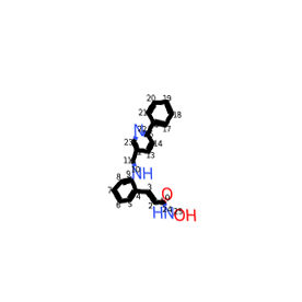 O=C(/C=C/c1ccccc1NCc1ccc(-c2ccccc2)nc1)NO